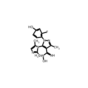 Cc1nn(-c2ccc(O)cc2F)c(-n2c(C)cnc2C)c1C(=N)NO